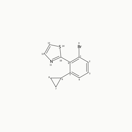 Brc1cccc(C2CC2)c1-c1nccs1